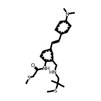 CSCC(=O)Nc1ccc(/C=C/c2ccc(N(C)C)cc2)cc1CNCC(C)(C)SC